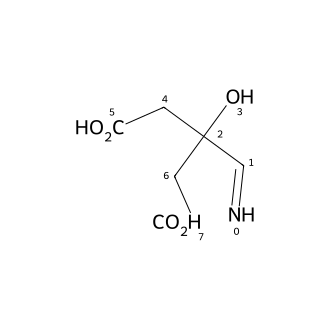 N=CC(O)(CC(=O)O)CC(=O)O